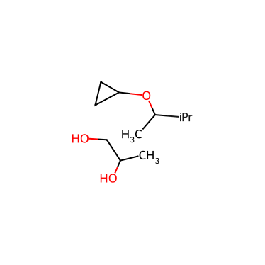 CC(C)C(C)OC1CC1.CC(O)CO